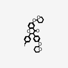 O=C1c2cc(OC3CCCCO3)ccc2OC(c2ccc(I)cc2)C1c1ccc(OC2CCCCO2)cc1